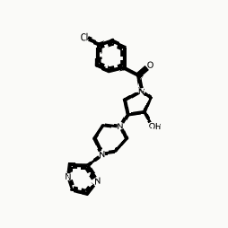 O=C(c1ccc(Cl)cc1)N1CC(O)C(N2CCN(c3cnccn3)CC2)C1